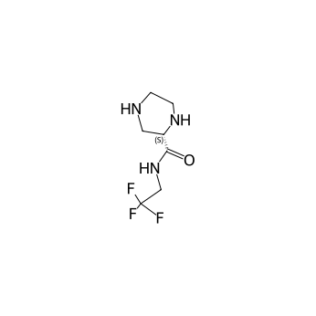 O=C(NCC(F)(F)F)[C@@H]1CNCCN1